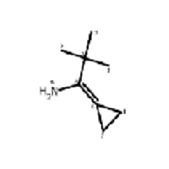 CC(C)(C)C(N)=C1CC1